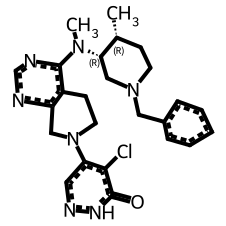 C[C@@H]1CCN(Cc2ccccc2)C[C@@H]1N(C)c1ncnc2c1CCN(c1cn[nH]c(=O)c1Cl)C2